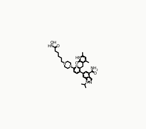 Cc1cc(C)c(Cc2nc(N3CCN(CCCCCC(=O)NO)CC3)ccc2-c2cc(C(N)=O)c3cnn(C(C)C)c3c2)c(=O)[nH]1